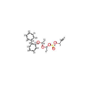 C#CCOS(=O)OC(C)OC(C)Oc1ccccc1-c1ccccc1